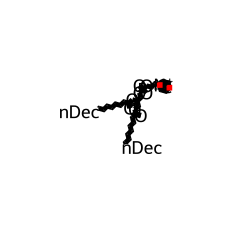 CCCCCCCCCCCCCCCCCC(=O)OCC(COP(=O)([O-])OCC[N+]12CCC(CC1)CC2)OC(=O)CCCCCCCCCCCCCCCCC